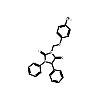 Cc1ccc(SCN2C(=O)C(c3ccccc3)N(c3ccccc3)C2=O)cc1